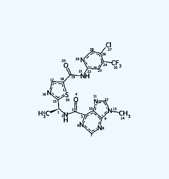 C[C@H](NC(=O)c1ncnc2c1ncn2C)c1ncc(C(=O)Nc2cc(C(F)(F)F)c(Cl)cn2)s1